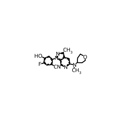 Cc1nn(-c2cc(O)c(F)cc2C#N)c2cnc(N(C)C3CCOCC3)cc12